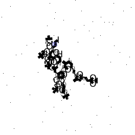 C=C1C[C@H](CCC2OCCO2)O[C@H]1CC[C@H]1C[C@@H](C)C(=C)[C@@H](C[C@@H]2O[C@H](C[C@@H](CO[Si](C)(C)C(C)(C)C)O[Si](C)(C)C(C)(C)C)[C@H](OC)[C@H]2CC(=O)C[C@H]2CC[C@@H]3O[C@@H](C(/C=C/I)O[Si](C)(C)C(C)(C)C)C(O[Si](C)(C)C(C)(C)C)C(O[Si](C)(C)C(C)(C)C)[C@H]3O2)O1